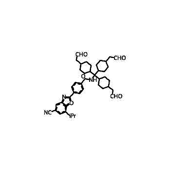 CC(C)c1cc(C#N)cc2nc(-c3ccc(C(=O)NC(C4CCC(CC=O)CC4)(C4CCC(CC=O)CC4)C4CCC(CC=O)CC4)cc3)oc12